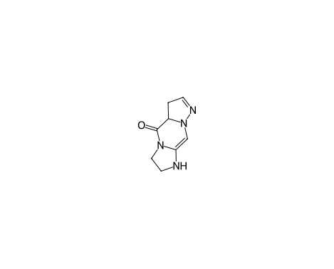 O=C1C2CC=NN2C=C2NCCN12